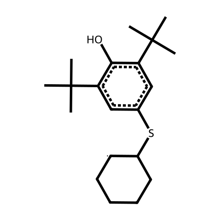 CC(C)(C)c1cc(SC2[CH]CCCC2)cc(C(C)(C)C)c1O